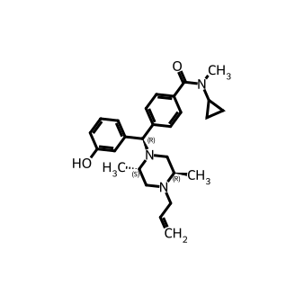 C=CCN1C[C@H](C)N([C@H](c2ccc(C(=O)N(C)C3CC3)cc2)c2cccc(O)c2)C[C@H]1C